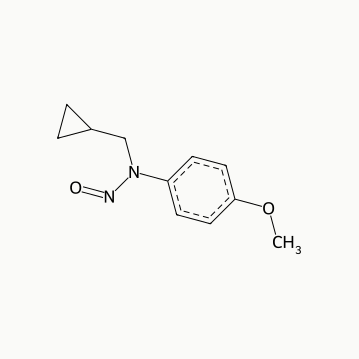 COc1ccc(N(CC2CC2)N=O)cc1